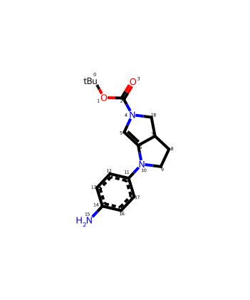 CC(C)(C)OC(=O)N1C=C2C(CCN2c2ccc(N)cc2)C1